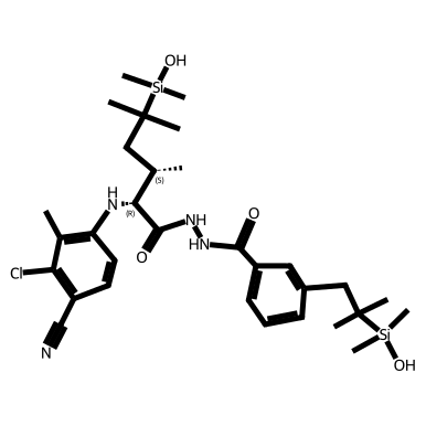 Cc1c(N[C@@H](C(=O)NNC(=O)c2cccc(CC(C)(C)[Si](C)(C)O)c2)[C@@H](C)CC(C)(C)[Si](C)(C)O)ccc(C#N)c1Cl